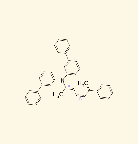 C=C(/C=C\C=C(/C)N(c1cccc(-c2ccccc2)c1)c1cccc(-c2ccccc2)c1)c1ccccc1